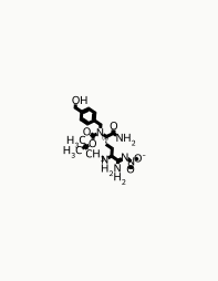 CC(C)(C)OC(=O)N(Cc1ccc(CO)cc1)[C@@H](CCC(N)C(N)=N[N+](=O)[O-])C(N)=O